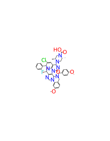 COc1ccc(CN(Cc2ccc(OC)cc2)c2ncnc(C(C)C)c2-n2c(=O)nc(N3C[C@@H](C)N(C(=O)O)C[C@@H]3C)c3cc(Cl)c(-c4ccccc4F)nc32)cc1